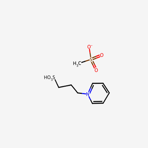 CS(=O)(=O)[O-].O=S(=O)(O)CCC[n+]1ccccc1